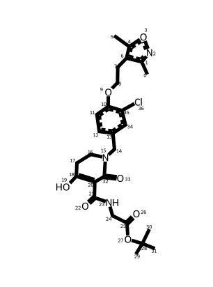 Cc1noc(C)c1CCOc1ccc(CN2CCC(O)=C(C(=O)NCC(=O)OC(C)(C)C)C2=O)cc1Cl